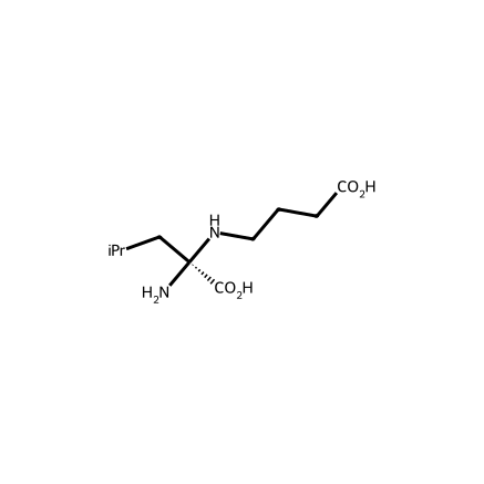 CC(C)C[C@](N)(NCCCC(=O)O)C(=O)O